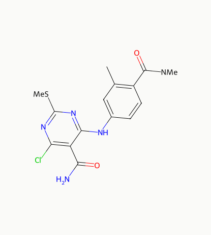 CNC(=O)c1ccc(Nc2nc(SC)nc(Cl)c2C(N)=O)cc1C